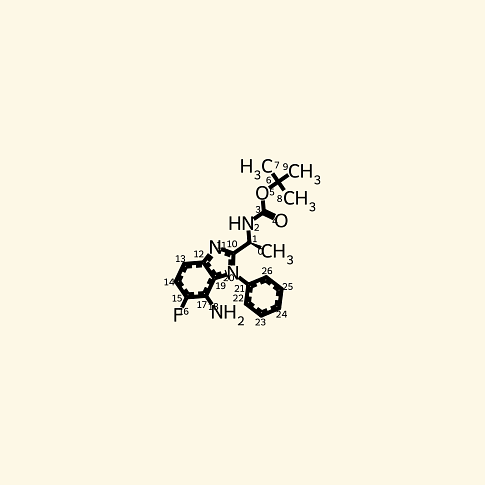 C[C@H](NC(=O)OC(C)(C)C)c1nc2ccc(F)c(N)c2n1-c1ccccc1